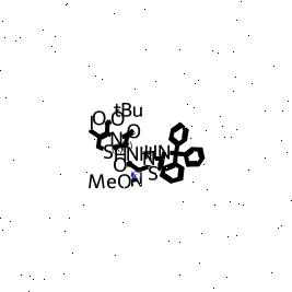 CO/N=C(\C(=O)N[C@@H]1C(=O)N2C(C(=O)OC(C)(C)C)=C(CI)CS[C@H]12)c1nc(NC(c2ccccc2)(c2ccccc2)c2ccccc2)cs1